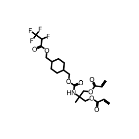 C=CC(=O)OCC(C)(COC(=O)C=C)NC(=O)OCC1CCC(COC(=O)C(F)C(F)(F)F)CC1